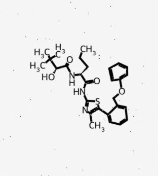 CCC[C@H](NC(=O)[C@@H](O)C(C)(C)C)C(=O)Nc1nc(C)c(-c2ccccc2COc2ccccc2)s1